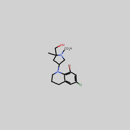 CC1(CO)CC(N2CCCc3cc(Cl)cc(Br)c32)CN1C(=O)O